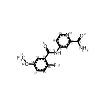 NC(=O)c1cc(NC(=O)c2cc(OC(F)(F)F)ccc2F)ccn1